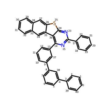 c1ccc(-c2cccc(-c3cccc(-c4nc(-c5ccccc5)nc5sc6cc7ccccc7cc6c45)c3)c2)cc1